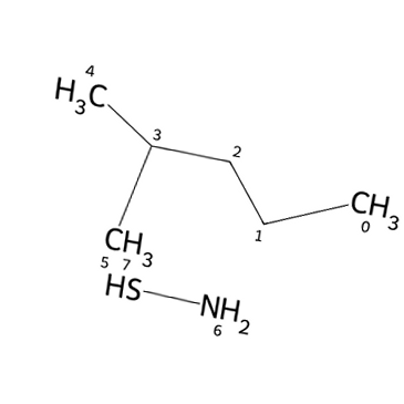 CCCC(C)C.NS